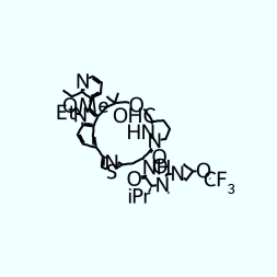 CCn1c(-c2cccnc2[C@H](C)OC)c2c3cc(ccc31)-c1csc(n1)C[C@H](NC(=O)[C@H](C(C)C)N(C)C(=O)N1CC(OC(F)(F)F)C1)C(=O)N1CCC[C@](C=O)(COCC(C)(C)C2)N1